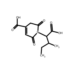 CCC(C)C(C(=O)O)N1C(=O)C=C(C(=O)O)CC1=O